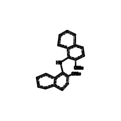 COc1ccc2ccccc2c1Nc1c(OC)ccc2ccccc12